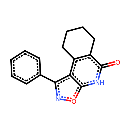 O=c1[nH]c2onc(-c3ccccc3)c2c2c1CCCC2